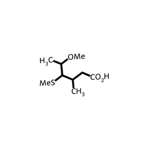 COC(C)C(SC)C(C)CC(=O)O